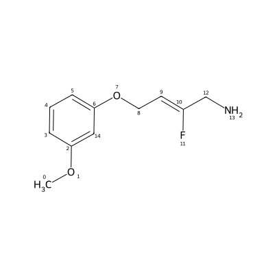 COc1cccc(OCC=C(F)CN)c1